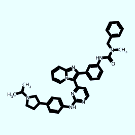 CC(C)N1CCC(c2ccc(Nc3nccc(-c4c(-c5cccc(NC(=O)N(C)Cc6ccccc6)c5)nc5ccccn45)n3)cc2)C1